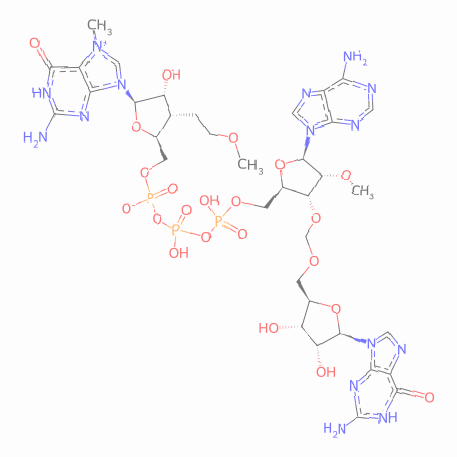 COCC[C@H]1[C@@H](O)[C@H](n2c[n+](C)c3c(=O)[nH]c(N)nc32)O[C@@H]1COP(=O)([O-])OP(=O)(O)OP(=O)(O)OC[C@H]1O[C@@H](n2cnc3c(N)ncnc32)[C@H](OC)[C@@H]1OCOC[C@H]1O[C@@H](n2cnc3c(=O)[nH]c(N)nc32)[C@H](O)[C@@H]1O